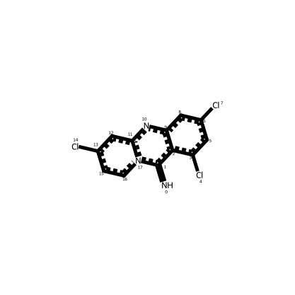 N=c1c2c(Cl)cc(Cl)cc2nc2cc(Cl)ccn12